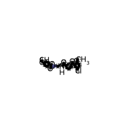 COc1ccc(S(=O)(=O)/C=C/CCNC(=O)C2CCCN(C(=O)c3cc(Cl)ccc3OC)C2)cc1